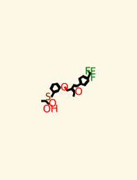 Cc1oc(-c2ccc(C(F)(F)F)cc2)cc1COc1cccc(CSC(C)C(=O)O)c1